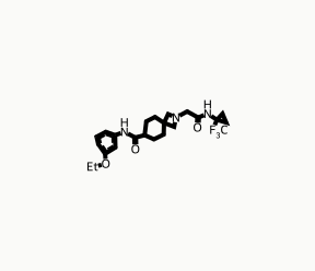 CCOc1cccc(NC(=O)C2CCC3(CC2)CN(CC(=O)NC2(C(F)(F)F)CC2)C3)c1